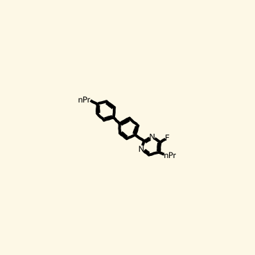 CCCc1ccc(-c2ccc(-c3ncc(CCC)c(F)n3)cc2)cc1